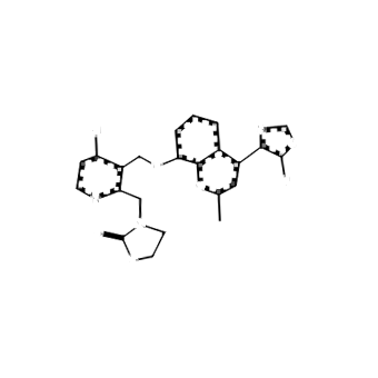 Cc1cc(-c2ncsc2Cl)c2cccc(OCc3c(Cl)ccnc3CN3CCOC3=O)c2n1